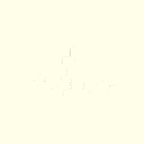 CC(=O)Nc1ccc(Sc2nc(N3CCC(O)CC3)nc(Nc3cc(C)[nH]n3)c2Cl)cc1